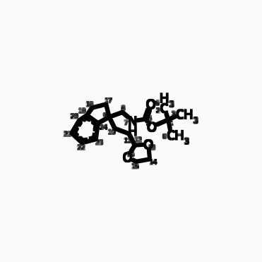 CC(C)(C)OC(=O)NCC1(CCC2OCCO2)CCc2ccccc21